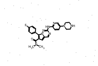 CN(C)C(=O)c1cc2cnc(Nc3ccc(N4CCNCC4)cn3)nn2c1-c1ccc(F)cc1